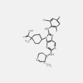 C[C@@H]1COCC[C@H]1Nc1ncc2nc(Nc3c(F)cc(F)cc3Cl)n(C3CCC(C)(C(=O)O)CC3)c2n1